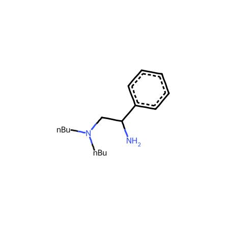 CCCCN(CCCC)CC(N)c1ccccc1